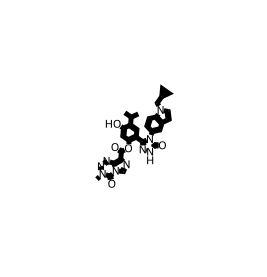 CC(C)c1cc(-c2n[nH]c(=O)n2-c2ccc3c(ccn3CC3CC3)c2)c(OC(=O)c2ncn3c(=O)n(C)nnc23)cc1O